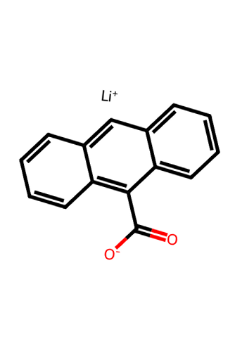 O=C([O-])c1c2ccccc2cc2ccccc12.[Li+]